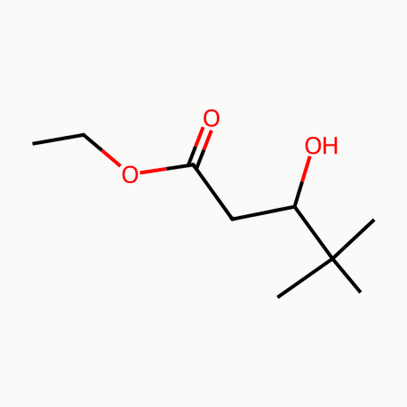 CCOC(=O)CC(O)C(C)(C)C